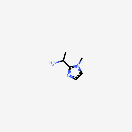 CC(N)c1nccn1C